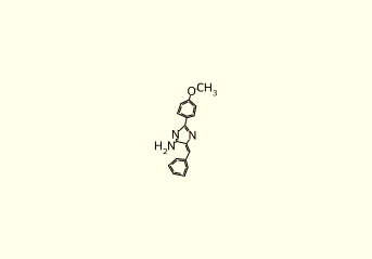 COc1ccc(C2=NC(=Cc3ccccc3)C(N)=N2)cc1